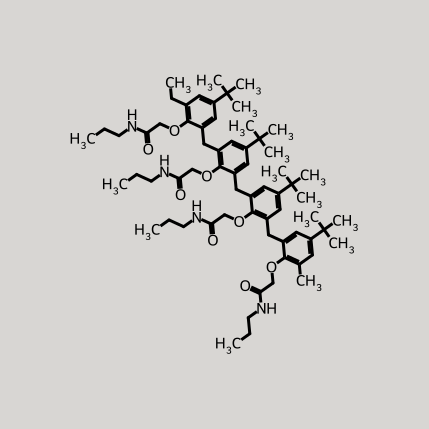 CCCNC(=O)COc1c(C)cc(C(C)(C)C)cc1Cc1cc(C(C)(C)C)cc(Cc2cc(C(C)(C)C)cc(Cc3cc(C(C)(C)C)cc(CC)c3OCC(=O)NCCC)c2OCC(=O)NCCC)c1OCC(=O)NCCC